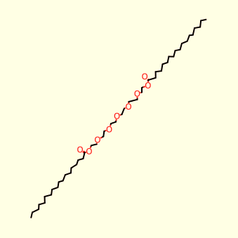 CCCCCCCCCCCCCCCCCC(=O)OCCOCCOCCOCCOCCOCCOC(=O)CCCCCCCCCCCCCCCCC